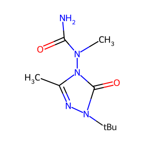 Cc1nn(C(C)(C)C)c(=O)n1N(C)C(N)=O